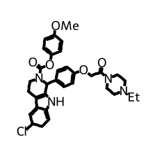 CCN1CCN(C(=O)COc2ccc(C3c4[nH]c5c(c4CCN3C(=O)Oc3ccc(OC)cc3)=CC(Cl)CC=5)cc2)CC1